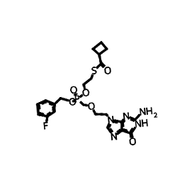 Nc1nc2c(ncn2CCOCP(=O)(OCCSC(=O)C2CCC2)OCc2cccc(F)c2)c(=O)[nH]1